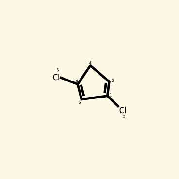 ClC1=CCC(Cl)=C1